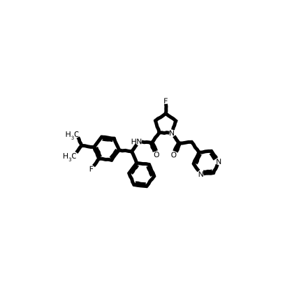 CC(C)c1ccc(C(NC(=O)C2CC(F)CN2C(=O)Cc2cncnc2)c2ccccc2)cc1F